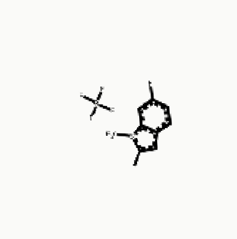 Cc1cc2ccc(F)cc2[s+]1C(F)(F)F.F[B-](F)(F)F